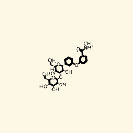 CNC(=O)c1cccc(Oc2cccc([C@H]3O[C@H](CO)[C@@H](O)[C@H](O[C@H]4O[C@H](CO)[C@@H](O)[C@@H](O)[C@H]4O)[C@@H]3O)c2)c1